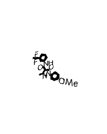 COc1ccc(N2N=C(C)C(C(=O)Nc3cccc(C(C)(F)F)c3)C2=O)cc1